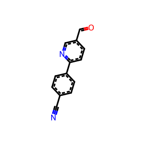 N#Cc1ccc(-c2ccc(C=O)cn2)cc1